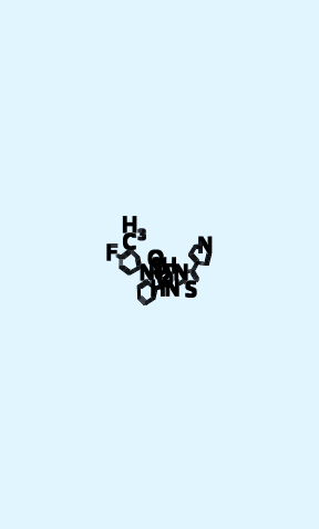 Cc1cc(N(c2ccccc2C(=O)Nc2nc(-c3ccncc3)cs2)[SH](=O)=O)ccc1F